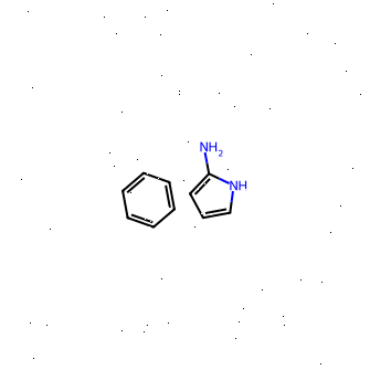 Nc1ccc[nH]1.c1ccccc1